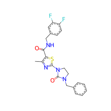 Cc1nc(N2CCN(Cc3ccccc3)C2=O)sc1C(=O)NCc1ccc(F)c(F)c1